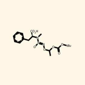 CC(ON=[N+]([O-])N(C)[C@@H](Cc1ccccc1)C(=O)O)OC(=O)OC(C)(C)C